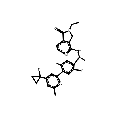 CCN1Cc2c(ccnc2N[C@@H](C)c2cc(F)c(-c3cc(C4(F)CC4)cc(C)n3)cc2F)C1=O